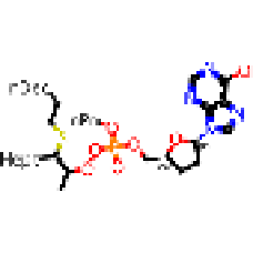 CCCCCCCCCCCCSC(CCCCCCC)C(C)OOP(=O)(OCCC)OC[C@@H]1CC[C@H](n2cnc3c(O)ncnc32)O1